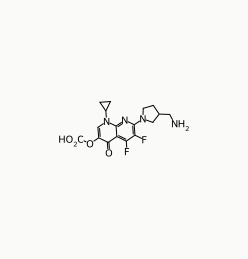 NCC1CCN(c2nc3c(c(F)c2F)c(=O)c(OC(=O)O)cn3C2CC2)C1